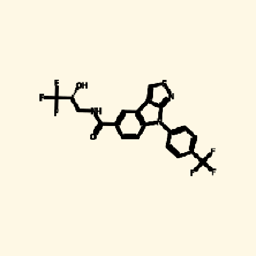 O=C(NC[C@@H](O)C(F)(F)F)c1ccc2c(c1)c1csnc1n2-c1ccc(C(F)(F)F)cc1